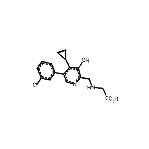 O=C(O)CNCc1ncc(-c2cccc(Cl)c2)c(C2CC2)c1O